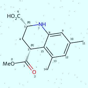 COC(=O)[C@@H]1C[C@H](C(=O)O)Nc2cc(C)cc(C)c21